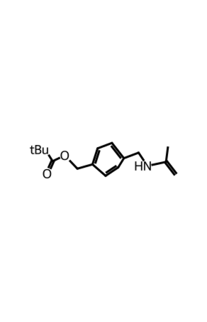 C=C(C)NCc1ccc(COC(=O)C(C)(C)C)cc1